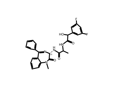 CC(NC(=O)C(O)c1cc(F)cc(F)c1)C(=O)N[C@H]1N=C(c2ccccc2)c2ccccc2N(C)C1=O